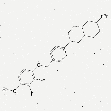 CCCC1CCC2CC(c3ccc(COc4ccc(OCC)c(F)c4F)cc3)CCC2C1